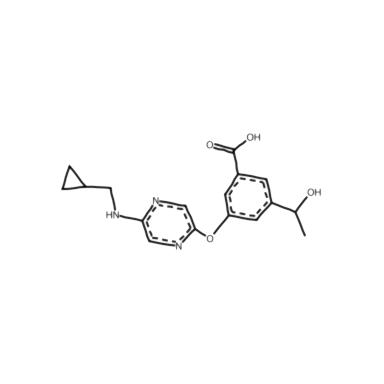 CC(O)c1cc(Oc2cnc(NCC3CC3)cn2)cc(C(=O)O)c1